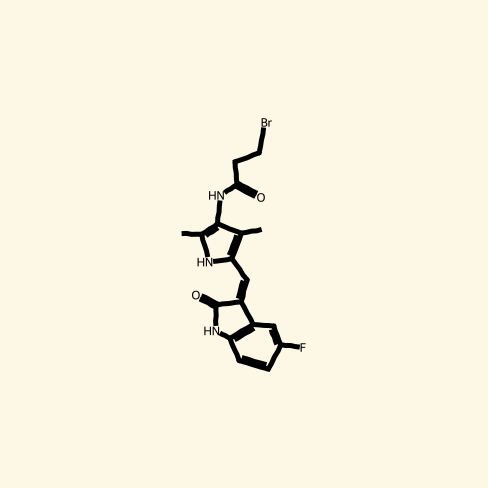 Cc1[nH]c(/C=C2\C(=O)Nc3ccc(F)cc32)c(C)c1NC(=O)CCBr